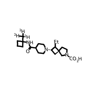 [2H]C([2H])([2H])C1(NC(=O)C2CCN([C@H]3C[C@]4(CCN(C(=O)O)C4)C3CC)CC2)CCC1